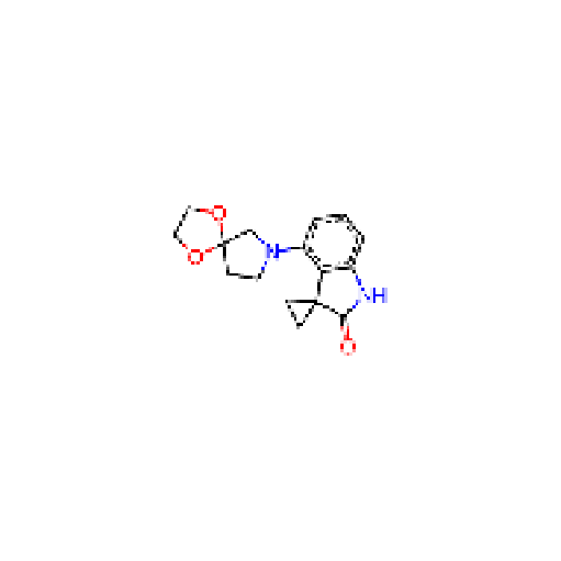 O=C1Nc2cccc(N3CCC4(C3)OCCO4)c2C12CC2